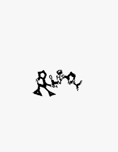 O=C(N=[SH](=O)c1ccn(C(F)F)n1)Nc1c2c(nc(C3CC3)c1C1CC1)CCC2